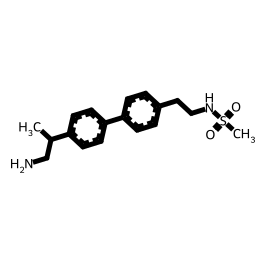 CC(CN)c1ccc(-c2ccc(CCNS(C)(=O)=O)cc2)cc1